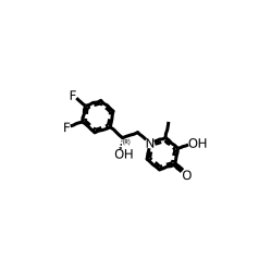 Cc1c(O)c(=O)ccn1C[C@H](O)c1ccc(F)c(F)c1